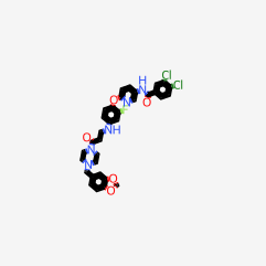 O=C(Nc1ccc(Oc2ccc(NCCC(=O)N3CCN(Cc4ccc5c(c4)OCO5)CC3)cc2F)nc1)c1ccc(Cl)c(Cl)c1